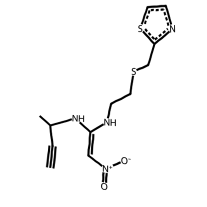 C#CC(C)NC(=C[N+](=O)[O-])NCCSCc1nccs1